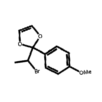 COc1ccc(C2(C(C)Br)OC=CO2)cc1